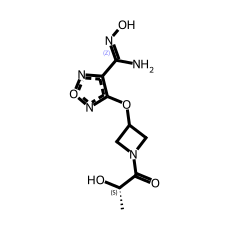 C[C@H](O)C(=O)N1CC(Oc2nonc2/C(N)=N/O)C1